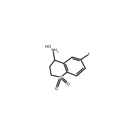 Cl.NC1CCS(=O)(=O)c2ccc(F)cc21